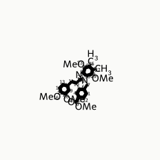 COC(=O)c1ccc(Cn2c(C=Cc3ccc(OC)c(OC)c3)nc3c(OC)c(C)c(C)c(OC)c32)cc1